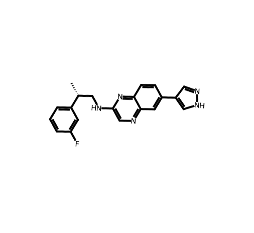 C[C@H](CNc1cnc2cc(-c3cn[nH]c3)ccc2n1)c1cccc(F)c1